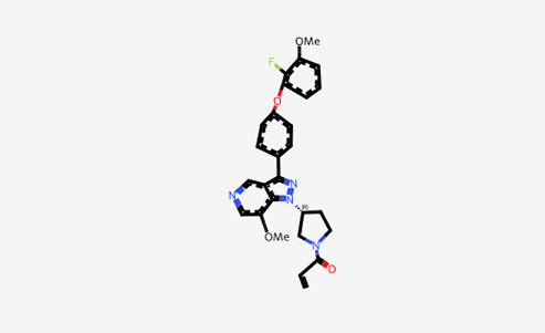 C=CC(=O)N1CC[C@@H](n2nc(-c3ccc(Oc4cccc(OC)c4F)cc3)c3cncc(OC)c32)C1